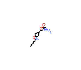 CCCCCc1nc2cc(CCC(C)(N)C(=O)OC)ccc2o1